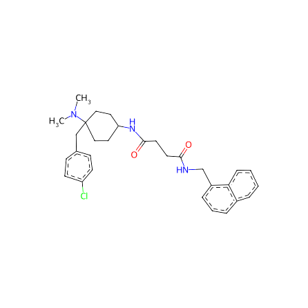 CN(C)C1(Cc2ccc(Cl)cc2)CCC(NC(=O)CCC(=O)NCc2cccc3ccccc23)CC1